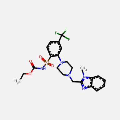 CCOC(=O)NS(=O)(=O)c1ccc(C(F)(F)F)cc1N1CCN(Cc2nc3ccccc3n2C)CC1